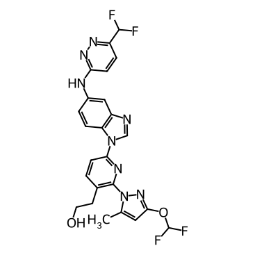 Cc1cc(OC(F)F)nn1-c1nc(-n2cnc3cc(Nc4ccc(C(F)F)nn4)ccc32)ccc1CCO